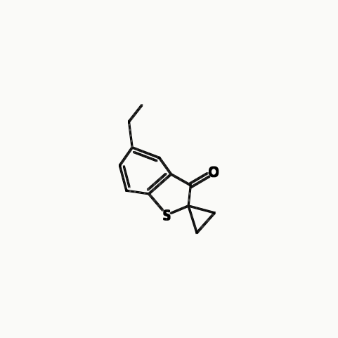 CCc1ccc2c(c1)C(=O)C1(CC1)S2